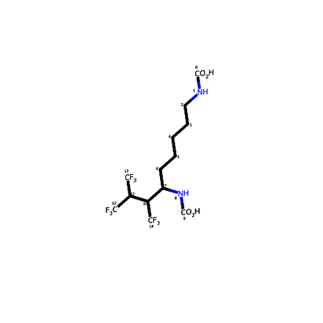 O=C(O)NCCCCCC(NC(=O)O)C(C(C(F)(F)F)C(F)(F)F)C(F)(F)F